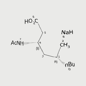 CCCC[C@@H](C)C[C@@H](CC(=O)O)NC(C)=O.[NaH]